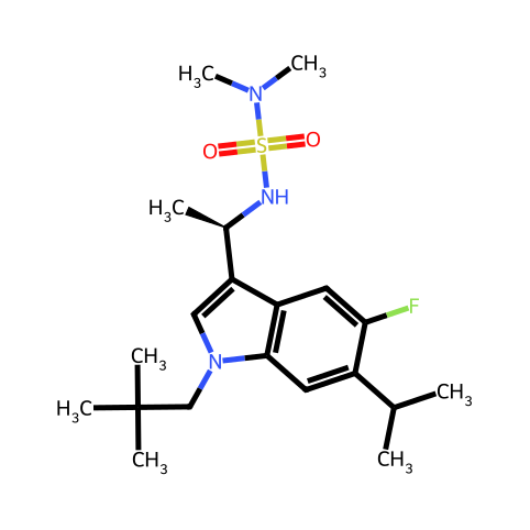 CC(C)c1cc2c(cc1F)c([C@@H](C)NS(=O)(=O)N(C)C)cn2CC(C)(C)C